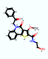 COc1c(C(=O)NCCO)sc2c1c(=O)n(CC(=O)c1ccccc1)c1ccccc21